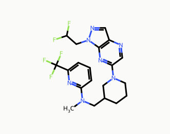 CN(CC1CCCN(c2cnc3cnn(CC(F)F)c3n2)C1)c1cccc(C(F)(F)F)n1